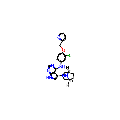 Clc1cc(Nc2ncnc3[nH]cc(C4C[C@H]5CC[C@@H](C4)N5)c23)ccc1OCc1ccccn1